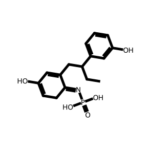 CCC(CC1=CC(O)=CCC1=NP(=O)(O)O)c1cccc(O)c1